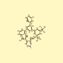 Cn1c(-c2ccccc2O)nc2c(-c3cc(-c4cc(C(C)(C)C)cc(C(C)(C)C)c4)cc(-c4ccccn4)c3)cccc21